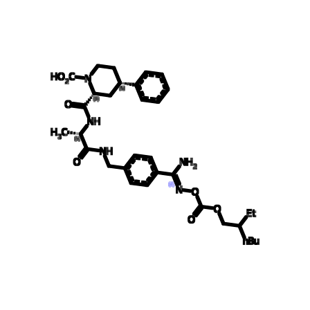 CCCCC(CC)COC(=O)O/N=C(\N)c1ccc(CNC(=O)[C@H](C)NC(=O)[C@H]2C[C@@H](c3ccccc3)CCN2C(=O)O)cc1